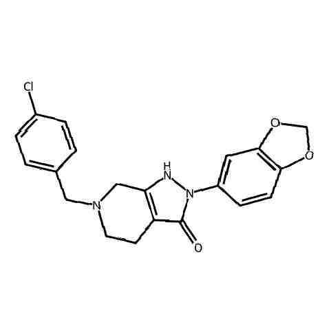 O=c1c2c([nH]n1-c1ccc3c(c1)OCO3)CN(Cc1ccc(Cl)cc1)CC2